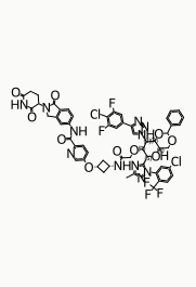 Cc1nc([C@@H]2O[C@@H]3COC(c4ccccc4)O[C@@H]3[C@H](n3cc(-c4cc(F)c(Cl)c(F)c4)nn3)[C@H]2OCC(=O)N[C@H]2C[C@@H](Oc3ccc(C(=O)Nc4ccc5c(c4)CN(C4CCC(=O)NC4=O)C5=O)nc3)C2)n(-c2cc(Cl)ccc2C(F)(F)F)n1